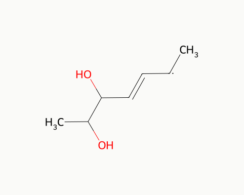 C[CH]C=CC(O)C(C)O